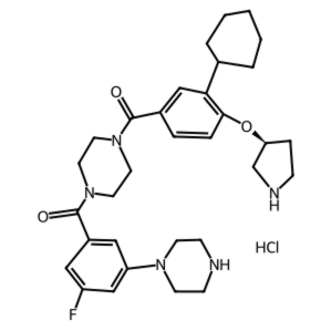 Cl.O=C(c1cc(F)cc(N2CCNCC2)c1)N1CCN(C(=O)c2ccc(O[C@H]3CCNC3)c(C3CCCCC3)c2)CC1